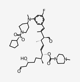 C/C(=C\c1cc(F)cc(N(C)C2CCN(S(=O)(=O)C3CCCC3)CC2)c1)[C@@H](C=O)[C@@H](C)/C=C/[C@H](OC(=O)N1CCN(C)CC1)[C@@H](C)CC[C@@H](O)CC=O